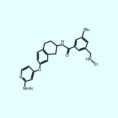 CCNCc1cc(C(=O)NC2CCc3ccc(Oc4ccnc(NC(C)=O)c4)cc3C2)cc(C(C)(C)C)c1